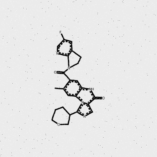 Cc1cc2c(cc1C(=O)N1CCc3cc(F)cnc31)[nH]c(=O)c1cnc(C3CCCOC3)n12